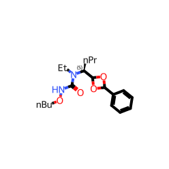 CCCCONC(=O)N(CC)[C@@H](CCC)C1OC(c2ccccc2)O1